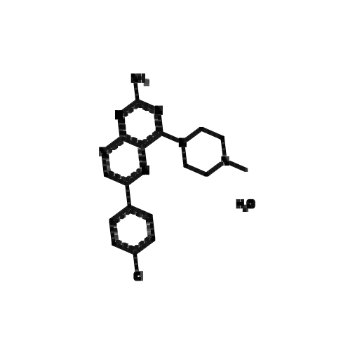 CN1CCN(c2nc(N)nc3ncc(-c4ccc(Cl)cc4)nc23)CC1.O